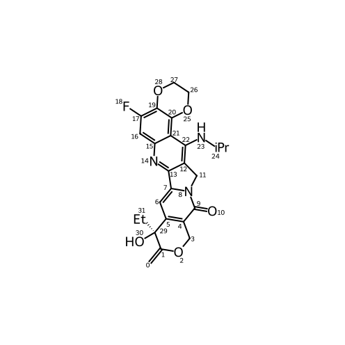 C=C1OCc2c(cc3n(c2=O)Cc2c-3nc3cc(F)c4c(c3c2NC(C)C)OCCO4)[C@@]1(O)CC